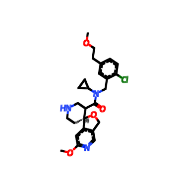 COCCc1ccc(Cl)c(CN(C(=O)C2CNCC[C@@]23OCc2cnc(OC)cc23)C2CC2)c1